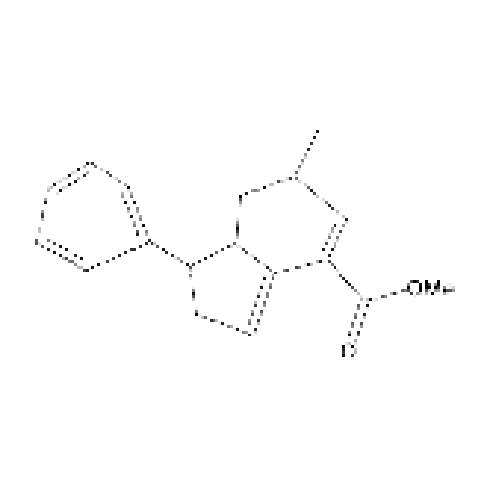 COC(=O)C1=CC(C)CC2C1=CCC2c1ccccc1